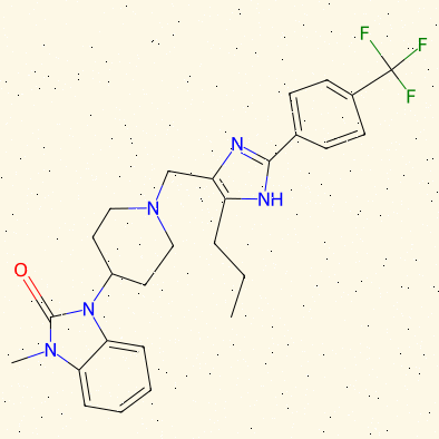 CCCc1[nH]c(-c2ccc(C(F)(F)F)cc2)nc1CN1CCC(n2c(=O)n(C)c3ccccc32)CC1